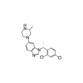 CC1CN(c2ccc3ncn([C@H](C)c4ccc(Cl)cc4Cl)c3c2)CCN1